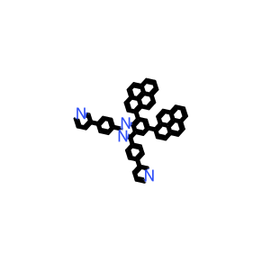 c1cncc(-c2ccc(-c3nc(-c4ccc(-c5cccnc5)cc4)c4cc(-c5ccc6ccc7cccc8ccc5c6c78)cc(-c5ccc6ccc7cccc8ccc5c6c78)c4n3)cc2)c1